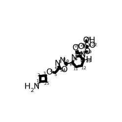 N[C@H]1C[C@@H](OCc2nnc([C@@H]3CC[C@H]4CN3C(=O)N4OS(=O)(=O)O)o2)C1